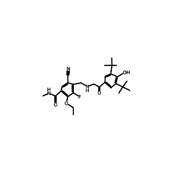 CCOc1c(C(=O)NC)cc(C#N)c(CNCC(=O)c2cc(C(C)(C)C)c(O)c(C(C)(C)C)c2)c1F